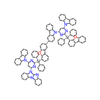 c1ccc([Si](c2ccccc2)(c2nc(-n3c4ccccc4c4ccccc43)cc(-n3c4ccccc4c4cc(-c5ccc6oc7c([Si](c8ccccc8)(c8ccccc8)c8nc(-n9c%10ccccc%10c%10ccccc%109)cc(-n9c%10ccccc%10n%10c%11ccccc%11nc9%10)n8)cccc7c6c5)ccc43)n2)c2cccc3c2oc2ccccc23)cc1